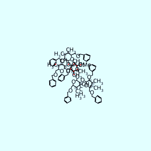 CCC1OC(O[C@@H]2C(O[C@@H]3C(COC4OC(COCc5ccccc5)[C@@H](C)C(C)(C)[C@@H]4OC4OC(COCc5ccccc5)[C@@H](C)[C@H](C)[C@@H]4OCc4ccccc4)OC(OC)[C@@H](C)[C@H]3OC3OC(COCc4ccccc4)[C@@H](C)[C@H](C)[C@@H]3OCc3ccccc3)OC(COCc3ccccc3)[C@@H](C)[C@@H]2C)[C@@H](OCc2ccccc2)[C@@H](C)[C@@H]1C